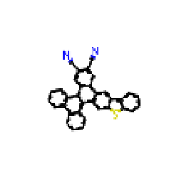 N#Cc1cc2c3cc4c(cc3c3c5ccccc5c5ccccc5c3c2cc1C#N)sc1ccccc14